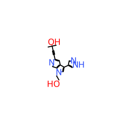 CC(C)(O)C#Cc1cc2c(-c3cn[nH]c3)cn(CCO)c2cn1